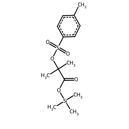 Cc1ccc(S(=O)(=O)OC(C)(C)C(=O)O[Si](C)(C)C)cc1